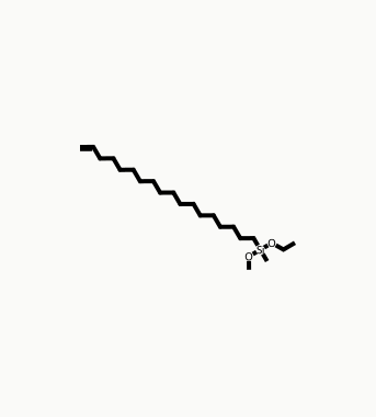 C=CCCCCCCCCCCCCCCCC[Si](C)(OC)OCC